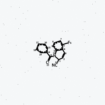 N#CC1C=Cc2c(F)cccc2N1C(=O)c1ccccc1